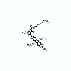 CCCCCCCCOC(=O)c1sc2c(C)sc(-c3cc4cc5c(OCC)c6cc7sc(C)cc7cc6c(OCC)c5cc4s3)c2c1F